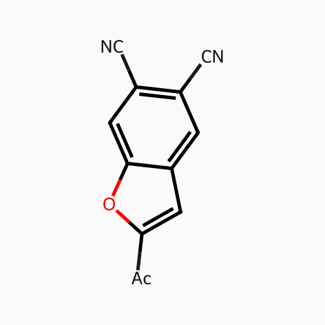 CC(=O)c1cc2cc(C#N)c(C#N)cc2o1